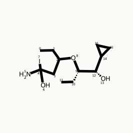 CCC(CC(N)(O)I)O[C@@H](CC)[C@@H](O)C1CC1